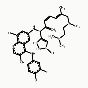 C=C(/C=C\C=C(/C)CN(C)CCN(C)C)[C@H](Nc1cc(Cl)c2ncc(C#N)c(Nc3ccc(F)c(Cl)c3)c2c1)C1=CN(C(C)C)NN1